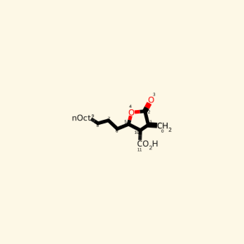 C=C1C(=O)OC(CCCCCCCCCCC)C1C(=O)O